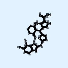 O=C1CCCC2=C1C(c1ccc(Sc3nc4ccc(F)c(F)c4[nH]3)o1)c1c[nH]c(C(=O)O)c1N2